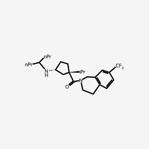 CCCC(CCC)N[C@@H]1CC[C@@](C(=O)N2CCc3ccc(C(F)(F)F)cc3C2)(C(C)C)C1